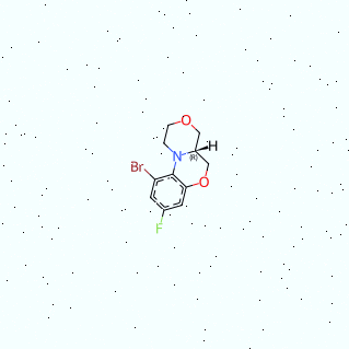 Fc1cc(Br)c2c(c1)OC[C@H]1COCCN21